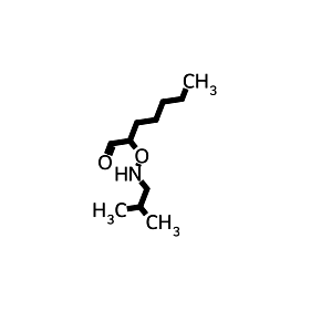 CCCCCC(C=O)ONCC(C)C